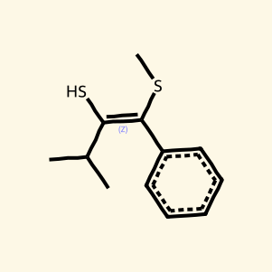 CS/C(=C(\S)C(C)C)c1ccccc1